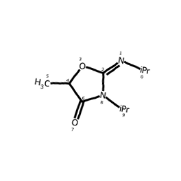 CC(C)/N=C1/OC(C)C(=O)N1C(C)C